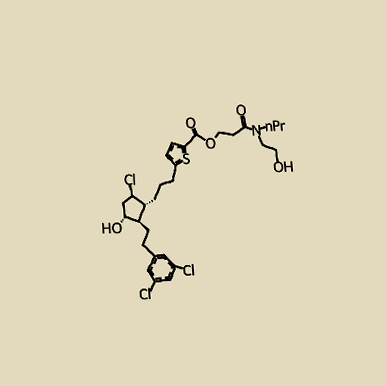 CCCN(CCO)C(=O)CCOC(=O)c1ccc(CCC[C@@H]2[C@@H](CCc3cc(Cl)cc(Cl)c3)[C@H](O)C[C@H]2Cl)s1